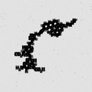 CC1Cc2ccc3ccccc3c2/C1=C1\C2CC(C#CCCN=[N+]=[N-])CCC2CC2CCC(C#CCCn3cc(CCC(=O)N[C@@H](CC(=O)O)C(=O)NCC(=O)N[C@@H](CCC(=O)O)C(=O)N[C@@H](C)C(N)=O)nn3)CC12